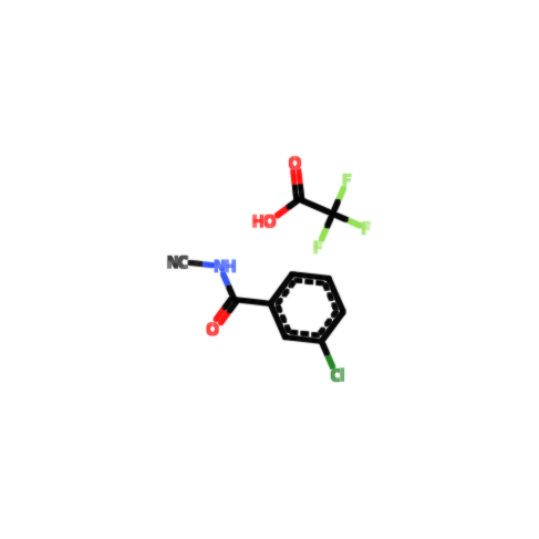 N#CNC(=O)c1cccc(Cl)c1.O=C(O)C(F)(F)F